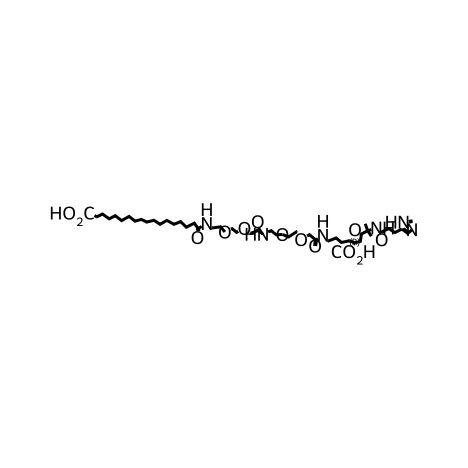 CC(C)(NC(=O)CCc1cnc[nH]1)C(=O)C[C@@H](CCCCNC(=O)COCCOCCNC(=O)COCCOCCNC(=O)CCCCCCCCCCCCCCCCC(=O)O)C(=O)O